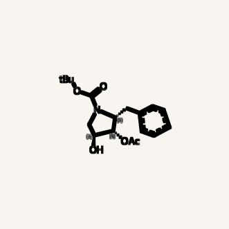 CC(=O)O[C@H]1[C@@H](Cc2ccccc2)N(C(=O)OC(C)(C)C)C[C@@H]1O